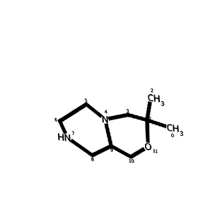 CC1(C)CN2CCNCC2CO1